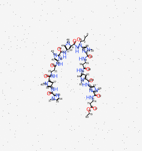 CCCC(=O)N(NC(=O)c1cc(NC(=O)c2nc(NC(=O)CCNC(=O)c3cc(NC(=O)c4nccn4C)cn3C)cn2C)cn1C)c1cn(C)c(C(=O)NCCC(=O)Nc2cc(C(=O)Nc3cn(C)c(C(=O)NCCC(=O)OCC)n3)n(C)c2)n1